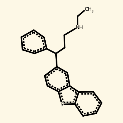 CCNCCC(c1ccccc1)c1ccc2sc3ccccc3c2c1